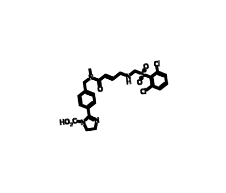 CN(Cc1ccc(C2=NCCN2C(=O)O)cc1)C(=O)/C=C/CNCS(=O)(=O)c1c(Cl)cccc1Cl